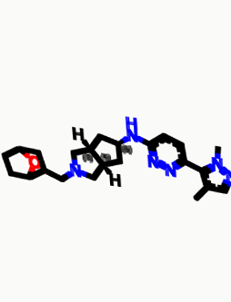 Cc1cnn(C)c1-c1ccc(N[C@H]2C[C@@H]3CN(CC4CC5CCC4O5)C[C@@H]3C2)nn1